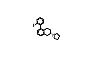 Fc1ccccc1-c1cccc2c1CC[C@H](N1CCCC1)C2